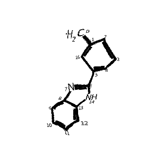 [CH2]c1cccc(-c2nc3ccccc3[nH]2)c1